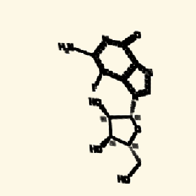 Nc1nc(=O)c2ncn([C@@H]3O[C@H](CO)[C@@H](O)[C@H]3O)c2n1F